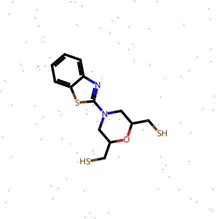 SCC1CN(c2nc3ccccc3s2)CC(CS)O1